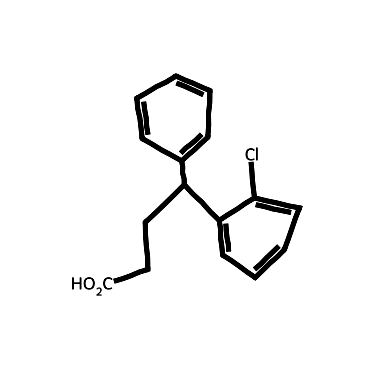 O=C(O)CCC(c1ccccc1)c1ccccc1Cl